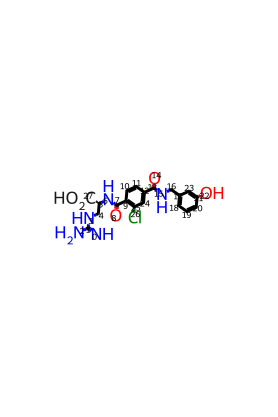 N=C(N)NC[C@H](NC(=O)c1ccc(C(=O)NCc2cccc(O)c2)cc1Cl)C(=O)O